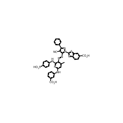 Cc1cc(Nc2cccc(C(=O)O)c2)nc(Nc2ccc(S(=O)(=O)O)cc2)c1N=Nc1c(C#N)c(-c2ccccc2)nn1-c1nc2ccc(C(=O)O)cc2s1